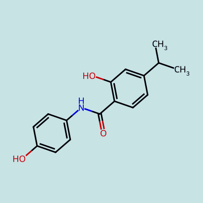 CC(C)c1ccc(C(=O)Nc2ccc(O)cc2)c(O)c1